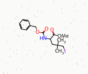 COC(=O)C(CC(C)(C)CI)NC(=O)OCc1ccccc1